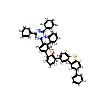 c1ccc(-c2ccc3sc4ccc(-c5cccc6c5oc5c(-c7ccccc7)c(-c7nc(-c8ccccc8)nc(-c8ccccc8)n7)ccc56)cc4c3c2)cc1